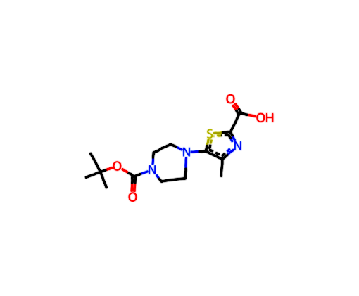 Cc1nc(C(=O)O)sc1N1CCN(C(=O)OC(C)(C)C)CC1